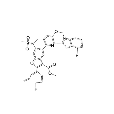 C=C/C=C(\C=C/CF)c1oc2cc(N(C)S(C)(=O)=O)c(-c3ccc4c(n3)-c3cc5c(F)cccc5n3CO4)cc2c1C(=O)OC